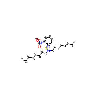 CCCCCCCCNCCCCCCCC.O=[N+]([O-])c1ccccc1S